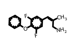 CC(=Cc1cc(F)c(Oc2ccccc2)c(F)c1)CN